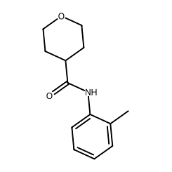 Cc1ccccc1NC(=O)C1CCOCC1